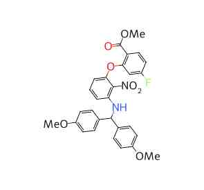 COC(=O)c1ccc(F)cc1Oc1cccc(NC(c2ccc(OC)cc2)c2ccc(OC)cc2)c1[N+](=O)[O-]